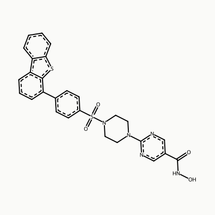 O=C(NO)c1cnc(N2CCN(S(=O)(=O)c3ccc(-c4cccc5c4sc4ccccc45)cc3)CC2)nc1